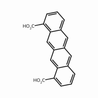 O=C(O)c1cccc2cc3cc4cccc(C(=O)O)c4cc3cc12